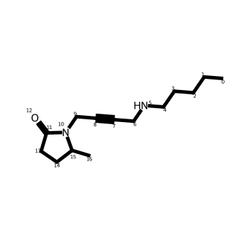 CCCCCNCC#CCN1C(=O)CCC1C